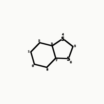 C1CCC2SCSC2C1